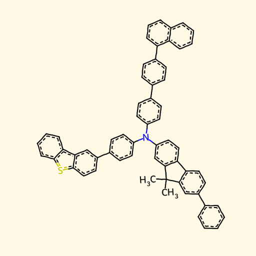 CC1(C)c2cc(-c3ccccc3)ccc2-c2ccc(N(c3ccc(-c4ccc(-c5cccc6ccccc56)cc4)cc3)c3ccc(-c4ccc5sc6ccccc6c5c4)cc3)cc21